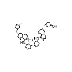 Cc1ccn(Cc2cnc3c(Nc4cccc(-c5cccc(Nc6nccc7cc(CN8CC[C@@H](O)C8)cnc67)c5Cl)c4Cl)nccc3c2)c1